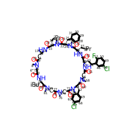 CC[C@H](C)[C@@H]1NC(=O)[C@H](C)N(C)C(=O)C[C@@H](C)NC(=O)[C@H](CC(C)C)N(C)C(=O)[C@H](Cc2ccccc2)N(C)C(=O)[C@H](CC(C)C)NC(=O)[C@H](CCc2cc(Cl)ccc2F)NC(=O)CN(C)C(=O)[C@H](Cc2ccc(Cl)cc2)N(C)C(=O)CN(C)C(=O)CN(C)C1=O